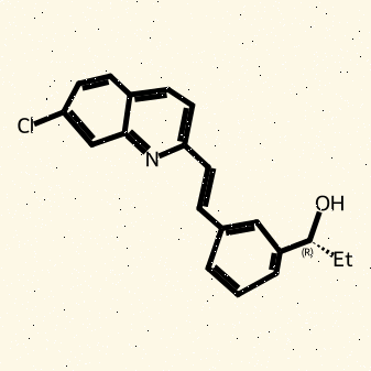 [CH2]C[C@@H](O)c1cccc(C=Cc2ccc3ccc(Cl)cc3n2)c1